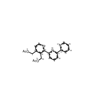 CC(=O)OCc1ccnc(-c2cccc(-c3ccccn3)n2)c1COC(C)=O